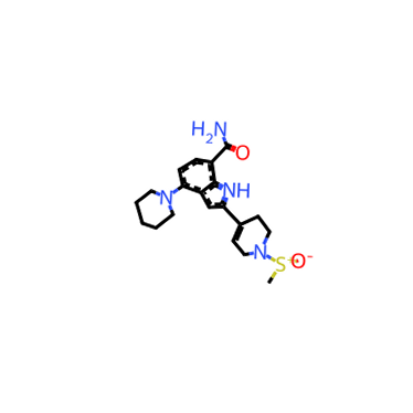 C[S+]([O-])N1CC=C(c2cc3c(N4CCCCC4)ccc(C(N)=O)c3[nH]2)CC1